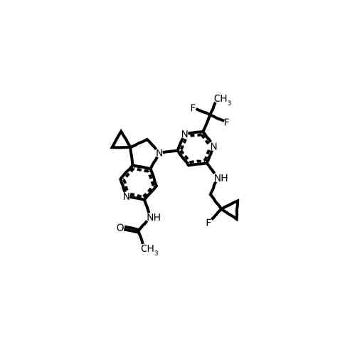 CC(=O)Nc1cc2c(cn1)C1(CC1)CN2c1cc(NCC2(F)CC2)nc(C(C)(F)F)n1